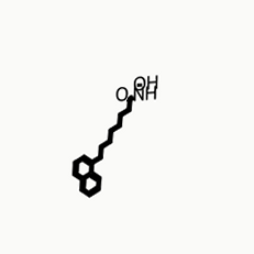 O=C(CCCCCCCc1cccc2ccccc12)NO